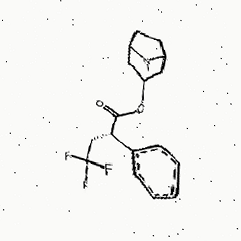 CN1C2CCC1CC(OC(=O)[C@@H](CC(F)(F)F)c1ccccc1)C2